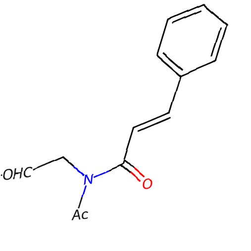 CC(=O)N(C[C]=O)C(=O)C=Cc1ccccc1